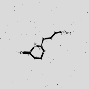 CCCCCCCC[C@H]1CCCC(=O)O1